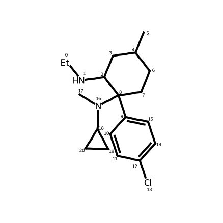 CCNC1CC(C)CCC1(c1ccc(Cl)cc1)N(C)C1CC1